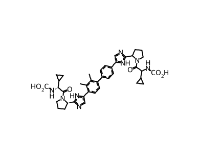 Cc1c(-c2ccc(-c3cnc(C4CCCN4C(=O)C(NC(=O)O)C4CC4)[nH]3)cc2)ccc(-c2cnc([C@H]3CCCN3C(=O)[C@H](NC(=O)O)C3CC3)[nH]2)c1C